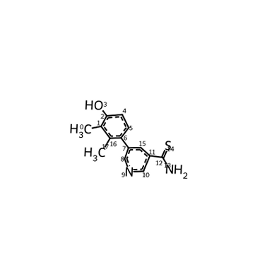 Cc1c(O)ccc(-c2cncc(C(N)=S)c2)c1C